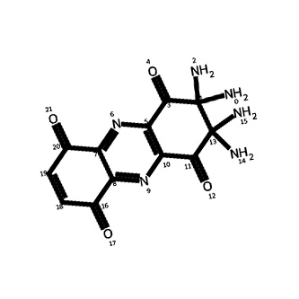 NC1(N)C(=O)c2nc3c(nc2C(=O)C1(N)N)C(=O)C=CC3=O